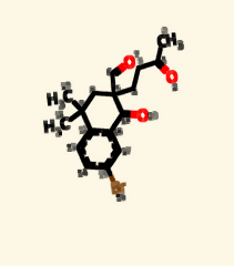 CC(=O)CCC1(C=O)CC(C)(C)c2ccc(Br)cc2C1=O